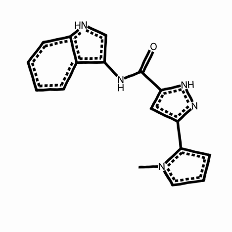 Cn1cccc1-c1cc(C(=O)Nc2c[nH]c3ccccc23)[nH]n1